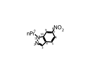 CCCn1ncc2ccc([N+](=O)[O-])cc21